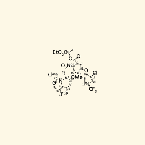 CCOC(=O)C(C)OC(=O)c1cc(Oc2ccc(C(F)(F)F)cc2Cl)ccc1[N+](=O)[O-].COCC(C)N(C(=O)CCl)c1c(C)csc1C